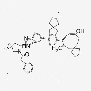 C=C1CC2(CCCC2)CC/C(O)=C\C=C/1c1ccc(-c2ccc3nc([C@@H]4CC5(CC5)CN4C(=O)Cc4ccccc4)[nH]c3c2)c2c1CC1(CCCC1)C2